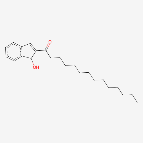 CCCCCCCCCCCCCC(=O)C1=Cc2ccccc2C1O